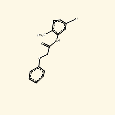 O=C(COc1ccccc1)Nc1cc(Cl)ccc1C(=O)O